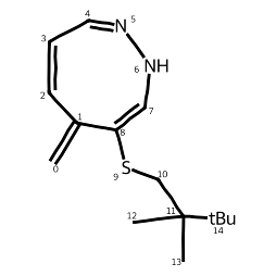 C=C1/C=C\C=N/N/C=C\1SCC(C)(C)C(C)(C)C